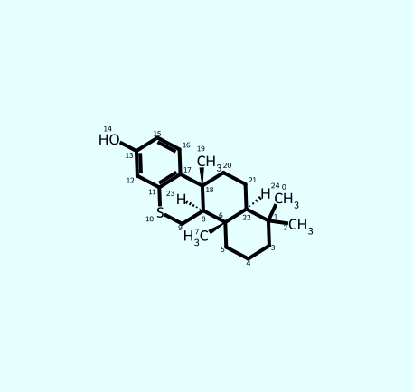 CC1(C)CCC[C@]2(C)[C@H]3CSc4cc(O)ccc4[C@]3(C)CC[C@@H]12